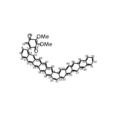 COC1=C(OC)C(=O)C(c2cccc3cc4cc5cc6cc7ccc8cc9cc%10cc%11cc%12ccccc%12cc%11cc%10cc9cc8c7cc6cc5cc4cc23)=C(C)C1=O